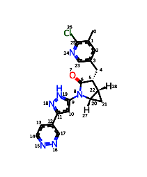 Cc1cc(C[C@H]2C(=O)N(c3cc(-c4ccnnc4)n[nH]3)[C@H]3C[C@@H]23)cnc1Cl